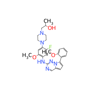 COc1cc(N2CCN(CC(C)O)CC2)c(F)cc1Nc1ncc2ccc(-c3ccccc3OC)n2n1